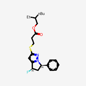 CCCCC(CC)COC(=O)CCSc1cc2n(n1)[C@@H](c1ccccc1)C[C@H]2F